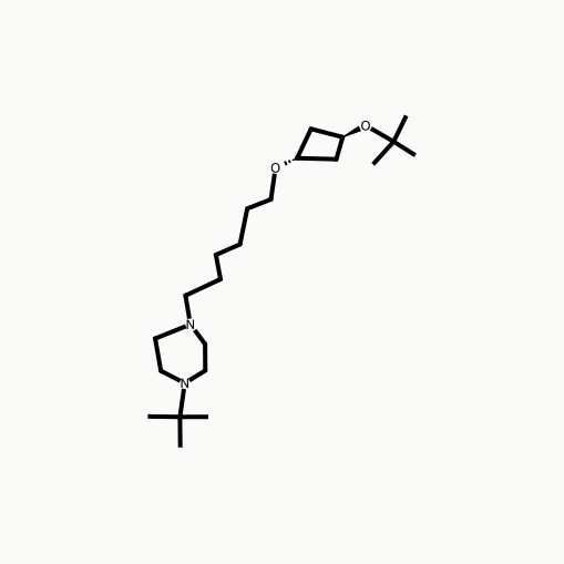 CC(C)(C)O[C@H]1C[C@H](OCCCCCCN2CCN(C(C)(C)C)CC2)C1